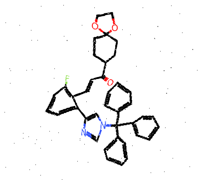 O=C(/C=C/c1c(F)cccc1-c1cn(C(c2ccccc2)(c2ccccc2)c2ccccc2)cn1)C1CCC2(CC1)OCCO2